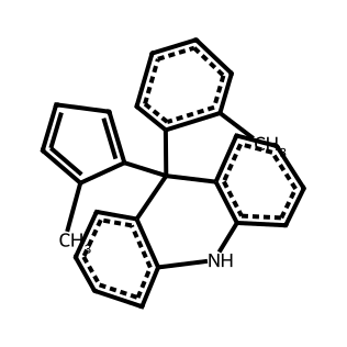 CC1=C=CC=C1C1(c2ccccc2C)c2ccccc2Nc2ccccc21